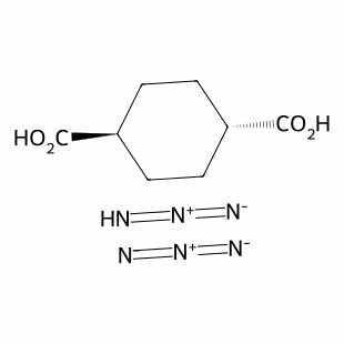 O=C(O)[C@H]1CC[C@H](C(=O)O)CC1.[N-]=[N+]=N.[N-]=[N+]=[N-]